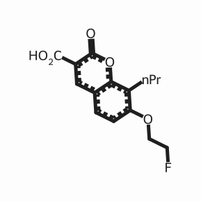 CCCc1c(OCCF)ccc2cc(C(=O)O)c(=O)oc12